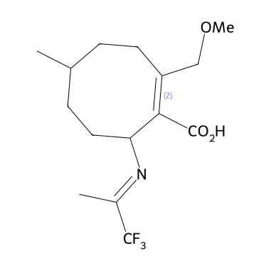 COC/C1=C(\C(=O)O)C(N=C(C)C(F)(F)F)CCC(C)CC1